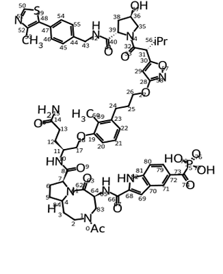 CC(=O)N1CC[C@H]2CC[C@@H](C(=O)N[C@@H](CCC(N)=O)COc3cccc(CCCOc4cc([C@H](C(=O)N5C[C@H](O)C[C@H]5C(=O)NCc5ccc(-c6scnc6C)cc5)C(C)C)on4)c3C)N2C(=O)[C@@H](NC(=O)c2cc3cc(C(=O)P(=O)(O)O)ccc3[nH]2)C1